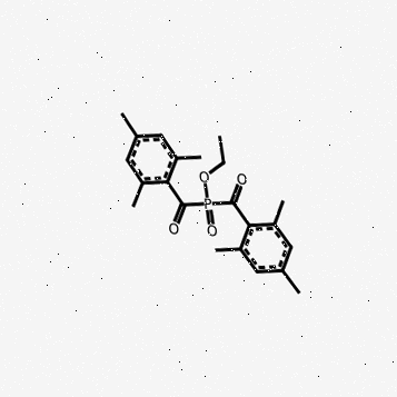 CCOP(=O)(C(=O)c1c(C)cc(C)cc1C)C(=O)c1c(C)cc(C)cc1C